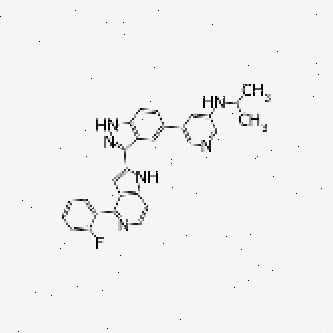 CC(C)Nc1cncc(-c2ccc3[nH]nc(-c4cc5c(-c6ccccc6F)nccc5[nH]4)c3c2)c1